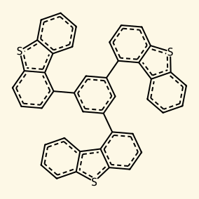 c1ccc2c(c1)sc1cccc(-c3cc(-c4cccc5sc6ccccc6c45)cc(-c4cccc5sc6ccccc6c45)c3)c12